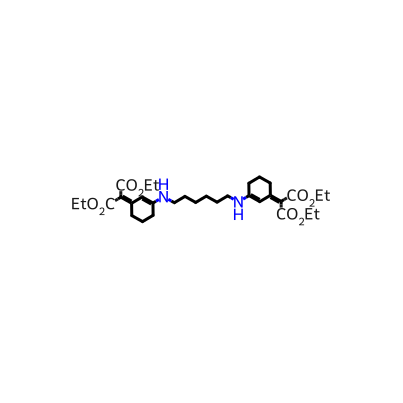 CCOC(=O)C(C(=O)OCC)=C1C=C(NCCCCCCNC2=CC(=C(C(=O)OCC)C(=O)OCC)CCC2)CCC1